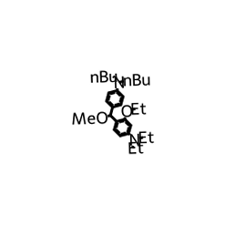 CCCCN(CCCC)c1ccc(C(OC)c2ccc(N(CC)CC)cc2OCC)cc1